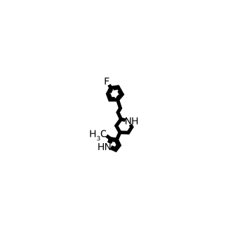 Cc1[nH]ccc1C1CCNC(CCc2ccc(F)cc2)C1